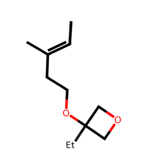 CC=C(C)CCOC1(CC)COC1